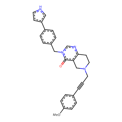 COc1ccc(C#CCN2CCc3ncn(Cc4ccc(-c5cc[nH]c5)cc4)c(=O)c3C2)cc1